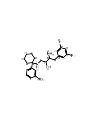 CC(C)(C)c1cccc(C2(NCC(O)C(N)Cc3cc(F)cc(F)c3)CCCCC2)c1